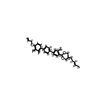 C=CCOc1ccc(-c2ccc(-c3ccc(C4OCC(CC/C=C/C)CO4)c(F)c3)cc2)c(F)c1F